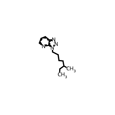 CCC(C)CCCCn1nnc2cccnc21